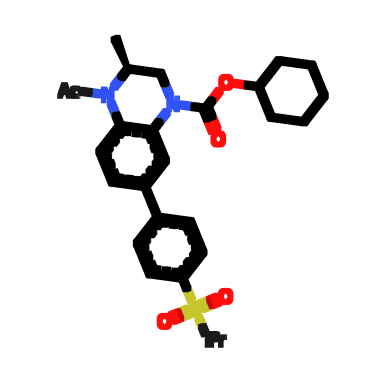 CC(=O)N1c2ccc(-c3ccc(S(=O)(=O)C(C)C)cc3)cc2N(C(=O)OC2CCCCC2)C[C@@H]1C